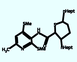 CCCCCCCC1CCC(CCCCCCC)C(C(=O)Nc2c(SC)cc(C)nc2SC)S1